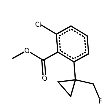 COC(=O)c1c(Cl)cccc1C1(CF)CC1